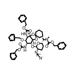 CC([C@@H]1CC[C@@H](N=[N+]=[N-])[C@@H](O[C@@H]2[C@@H](NC(=O)OCc3ccccc3)[C@H](OCc3ccccc3)[C@@H](NC(=O)OCc3ccccc3)[C@@H]3OC4(CCCCC4)O[C@@H]23)O1)N(C)C(=O)OCc1ccccc1